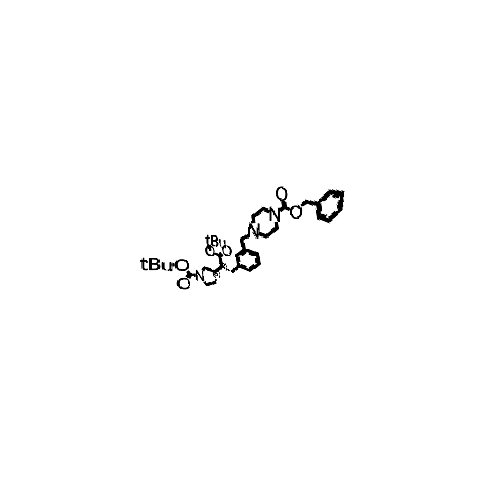 CC(C)(C)OC(=O)[C@H](Cc1cccc(CN2CCN(C(=O)OCc3ccccc3)CC2)c1)[C@@H]1CCN(C(=O)OC(C)(C)C)C1